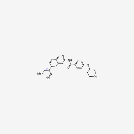 CN/C=C(\N=N)c1ccc2cnc(NC(=O)c3ccc(OC4CCNCC4)cc3)cc2c1